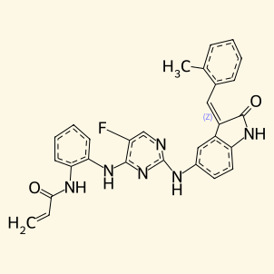 C=CC(=O)Nc1ccccc1Nc1nc(Nc2ccc3c(c2)/C(=C/c2ccccc2C)C(=O)N3)ncc1F